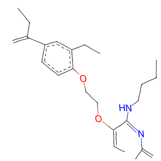 C=C(C)/N=C(NCCCC)\C(=C/C)OCCOc1ccc(C(=C)CC)cc1CC